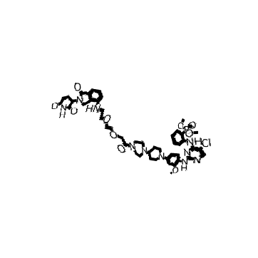 COc1cc(N2CCC(N3CCN(C(=O)COCCOCCNc4cccc5c4CN(C4CCC(=O)NC4=O)C5=O)CC3)CC2)ccc1Nc1ncc(Cl)c(Nc2ccccc2P(=O)(OC)OC)n1